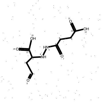 O=CCC(NNC(=O)CCC(=O)O)C(=O)O